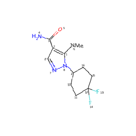 CNc1c(C(N)=O)cnn1C1CCC(F)(F)CC1